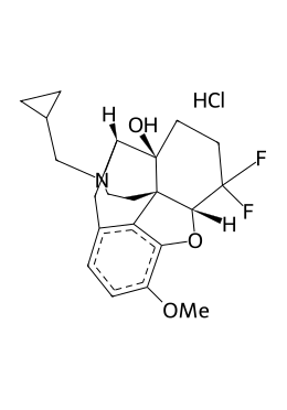 COc1ccc2c3c1O[C@H]1C(F)(F)CC[C@@]4(O)[C@@H](C2)N(CC2CC2)CC[C@]314.Cl